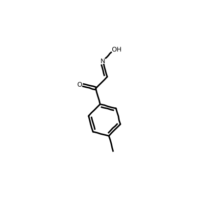 Cc1ccc(C(=O)C=NO)cc1